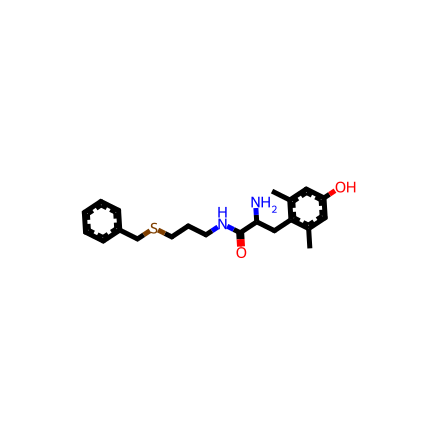 Cc1cc(O)cc(C)c1CC(N)C(=O)NCCCSCc1ccccc1